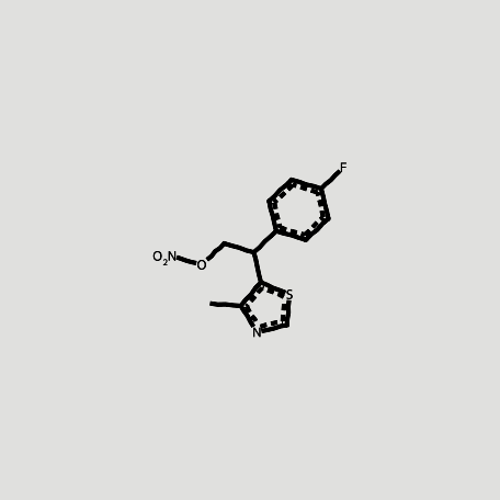 Cc1ncsc1C(CO[N+](=O)[O-])c1ccc(F)cc1